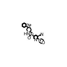 CN(C)[C@]1(c2ccccc2)CC[C@]2(CC1)CN(c1cnc(N3CCOCC3)c(C#N)c1)C(=O)N2